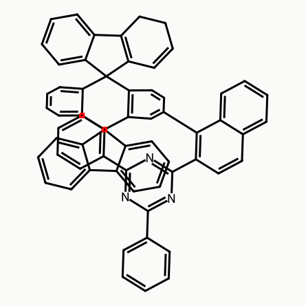 C1=CC2=C(CC1)c1ccccc1C21c2ccccc2C2(c3ccccc3-c3ccccc32)c2cc(-c3c(-c4nc(-c5ccccc5)nc(-c5ccccc5)n4)ccc4ccccc34)ccc21